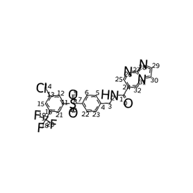 O=C(NCc1ccc(S(=O)(=O)c2cc(Cl)cc(C(F)(F)F)c2)cc1)c1cnc2nccn2c1